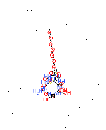 CCOCCOCCOCCOCCOCCOCCOCCSCc1c(OC)ccc2c3c([nH]c12)[S+]([O-])CC1NC(=O)CNC(=O)[C@H]([C@@H](C)CC)NC(=O)CNC(=O)[C@H](C3)NC(=O)[C@H]([C@@H](C)[C@@H](O)CO)NC(=O)[C@@H]2C[C@@H](O)CN2C(=O)[C@H](CC(N)=O)NC1=O